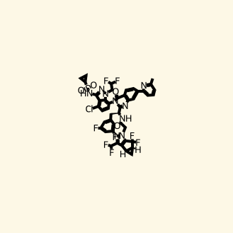 Cc1cccc(-c2ccc3c(=O)n(-c4ccc(Cl)c5c(NS(=O)(=O)C6CC6)nn(CC(F)F)c45)c([C@H](Cc4cc(F)cc(F)c4)NC(=O)Cn4nc(C(F)F)c5c4C(F)(F)[C@@H]4C[C@H]54)nc3c2)n1